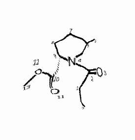 CCC(=O)N1C(C)CC[C@H]1C(=O)OC